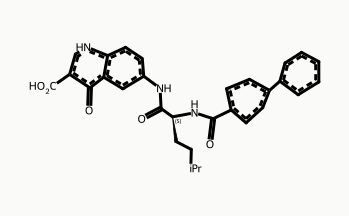 CC(C)CC[C@H](NC(=O)c1ccc(-c2ccccc2)cc1)C(=O)Nc1ccc2[nH]cc(C(=O)O)c(=O)c2c1